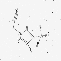 N#CCn1cc(I)c(C(F)(F)F)n1